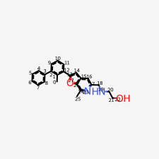 Cc1c(-c2ccccc2)cccc1-c1cc2cc(CNCCO)nc(C)c2o1